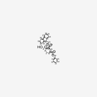 O=C(O)[C@@H]1CCCN(C(=O)OCc2ccccc2)CN1C(=O)OCC1c2ccccc2-c2ccccc21